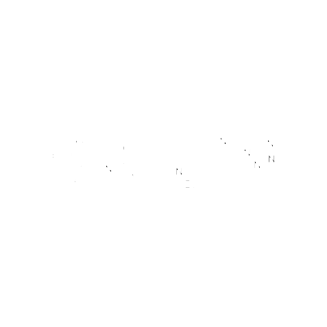 CCN(Cc1ccc(-n2cnnn2)nc1)C1CCC2(CC1)CCN(C1=C(C)C(=O)OC1)C2=O